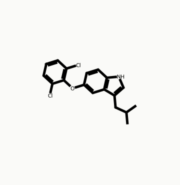 CC(C)Cc1c[nH]c2ccc(Oc3c(Cl)c[c]cc3Cl)cc12